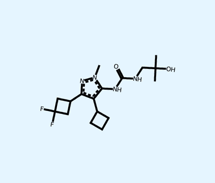 Cn1nc(C2CC(F)(F)C2)c(C2CCC2)c1NC(=O)NCC(C)(C)O